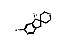 CSc1ccc2c(c1)[C@@H](N)C1(CCNCC1)C2